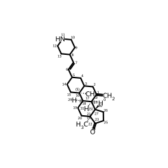 C=C1CC2CC(C=CC3CCNCC3)CC[C@]2(C)[C@@H]2CC[C@]3(C)C(=O)CC[C@H]3[C@H]12